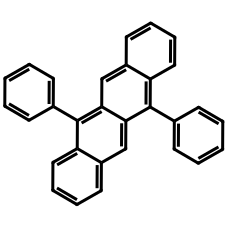 c1ccc(-c2c3ccccc3cc3c(-c4ccccc4)c4ccccc4cc23)cc1